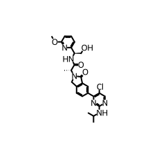 COc1cccc([C@@H](CO)NC(=O)[C@@H](C)N2Cc3ccc(-c4nc(NC(C)C)ncc4Cl)cc3C2=O)n1